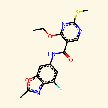 CCOc1nc(SC)ncc1C(=O)Nc1cc(F)c2nc(C)oc2c1